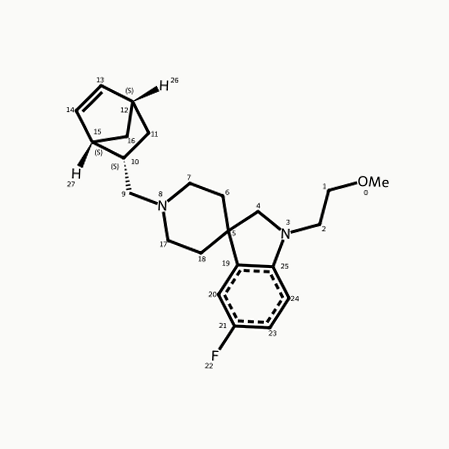 COCCN1CC2(CCN(C[C@H]3C[C@H]4C=C[C@@H]3C4)CC2)c2cc(F)ccc21